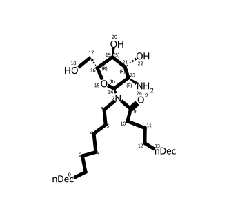 CCCCCCCCCCCCCCCCN(C(=O)CCCCCCCCCCCCC)[C@@H]1O[C@H](CO)[C@@H](O)[C@H](O)[C@H]1N